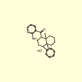 Nc1ncccc1C(=O)N1CC[C@](O)(c2ccccc2)[C@H]2CCCC[C@H]21